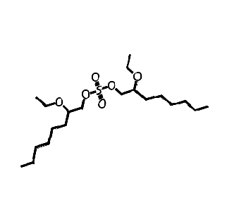 CCCCCCC(COS(=O)(=O)OCC(CCCCCC)OCC)OCC